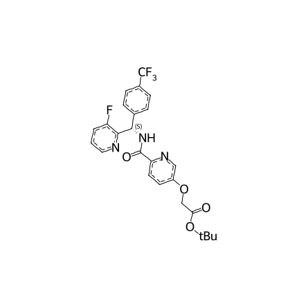 CC(C)(C)OC(=O)COc1ccc(C(=O)N[C@@H](c2ccc(C(F)(F)F)cc2)c2ncccc2F)nc1